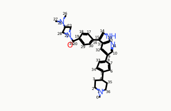 CN1CCC(c2ccc(-c3cnc4[nH]cc(-c5ccc(C(=O)N6CC(N(C)C)C6)cc5)c4c3)cc2)CC1